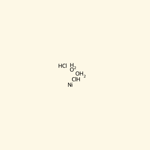 Cl.Cl.O.O.[Ni]